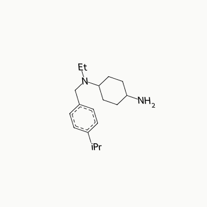 CCN(Cc1ccc(C(C)C)cc1)C1CCC(N)CC1